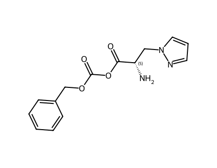 N[C@@H](Cn1cccn1)C(=O)OC(=O)OCc1ccccc1